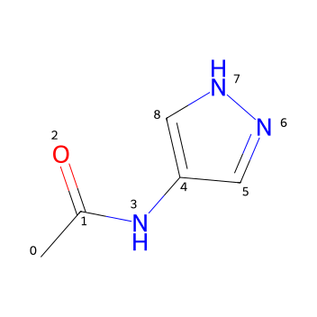 CC(=O)Nc1cn[nH]c1